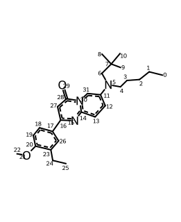 CCCCCN(CC(C)(C)C)c1ccc2nc(-c3ccc(OC)c(CC)c3)cc(=O)n2c1